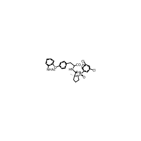 CC(=O)Nc1ccccc1Oc1ccc(CC(NC(=O)[C@]2(C)CCCN2S(=O)(=O)c2cc(Cl)cc(Cl)c2)C(=O)O)cc1